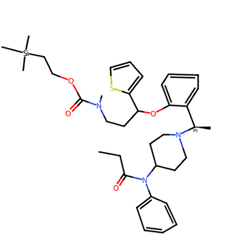 CCC(=O)N(c1ccccc1)C1CCN([C@H](C)c2ccccc2OC(CCN(C)C(=O)OCC[Si](C)(C)C)c2cccs2)CC1